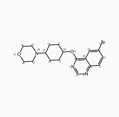 Brc1ccc2ncnc(OC3CCC(N4CCOCC4)CC3)c2c1